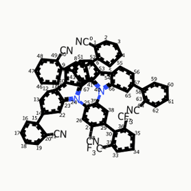 N#Cc1ccccc1-c1ccc2c3ccc(-c4ccccc4C#N)cc3n(-c3cc(C#N)c(-c4c(C(F)(F)F)cccc4C(F)(F)F)cc3-n3c4cc(-c5ccccc5C#N)ccc4c4ccc(-c5ccccc5C#N)cc43)c2c1